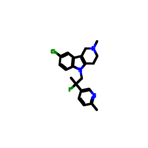 Cc1ccc(C(C)(F)Cn2c3c(c4cc(Cl)ccc42)CN(C)CC3)cn1